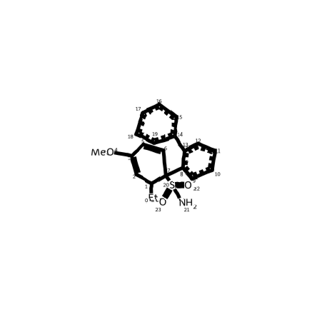 CCC1C=C(OC)C=CC1(c1ccccc1-c1ccccc1)S(N)(=O)=O